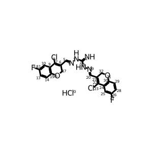 Cl.N=C(NN=CC1=C(Cl)c2cc(F)ccc2OC1)NN=CC1=C(Cl)c2cc(F)ccc2OC1